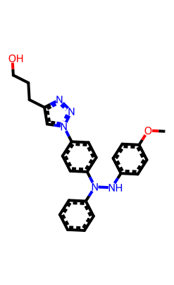 COc1ccc(NN(c2ccccc2)c2ccc(-n3cc(CCCO)nn3)cc2)cc1